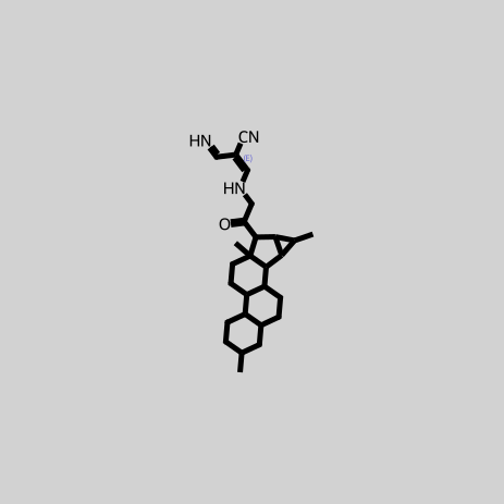 CC1CCC2C(CCC3C2CCC2(C)C(C(=O)CN/C=C(/C#N)C=N)C4C(C)C4C32)C1